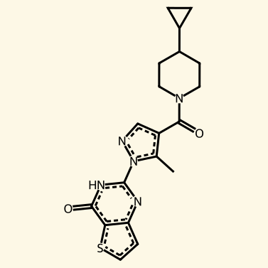 Cc1c(C(=O)N2CCC(C3CC3)CC2)cnn1-c1nc2ccsc2c(=O)[nH]1